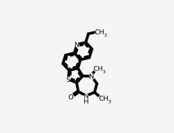 CCc1ccc2c(ccc3sc4c(c32)N(C)CC(C)NC4=O)n1